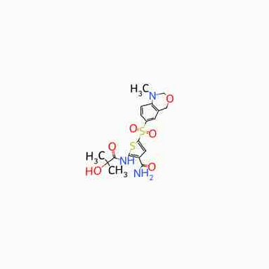 CN1COCc2cc(S(=O)(=O)c3cc(C(N)=O)c(NC(=O)C(C)(C)O)s3)ccc21